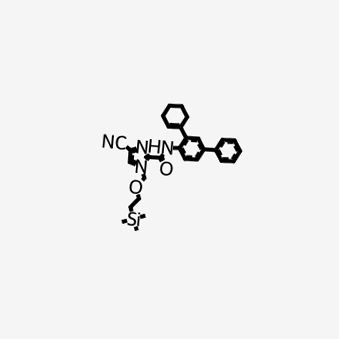 C[Si](C)(C)CCOCn1cc(C#N)nc1C(=O)Nc1ccc(-c2ccccc2)cc1C1=CCCCC1